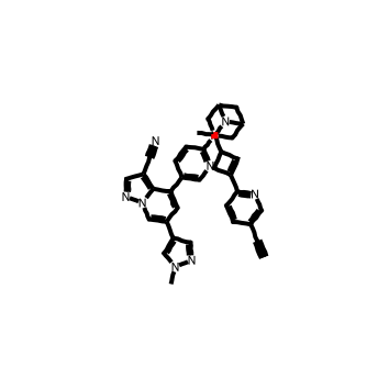 C#Cc1ccc(C2=CC(C(C)N3C4CC3CN(c3ccc(-c5cc(-c6cnn(C)c6)cn6ncc(C#N)c56)cn3)C4)C2)nc1